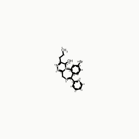 CCCC1=NN=C2CN=C(c3ccccn3)c3ccc(Br)cc3N2C1O